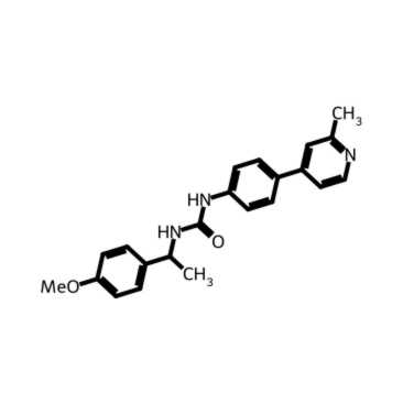 COc1ccc(C(C)NC(=O)Nc2ccc(-c3ccnc(C)c3)cc2)cc1